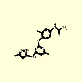 Cc1cc(Nc2cc(C)nc(Sc3ccc(NC(N)=O)cc3C)n2)[nH]n1